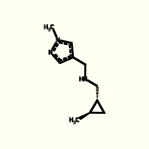 C[C@@H]1C[C@H]1CNCc1cnn(C)c1